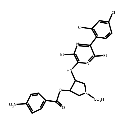 CCc1nc(-c2ccc(Cl)cc2Cl)c(CC)nc1NC1CN(C(=O)O)CC1OC(=O)c1ccc([N+](=O)[O-])cc1